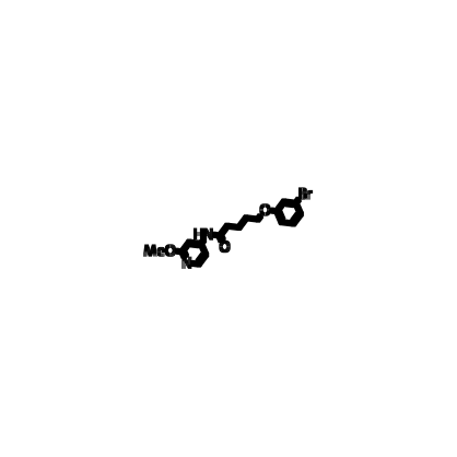 COc1cc(NC(=O)CCCCOc2cccc(Br)c2)ccn1